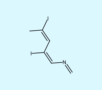 C=N/C=C(I)\C=C(/C)I